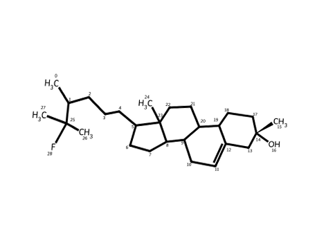 CC(CCCC1CCC2C3CC=C4C[C@@](C)(O)CCC4C3CCC12C)C(C)(C)F